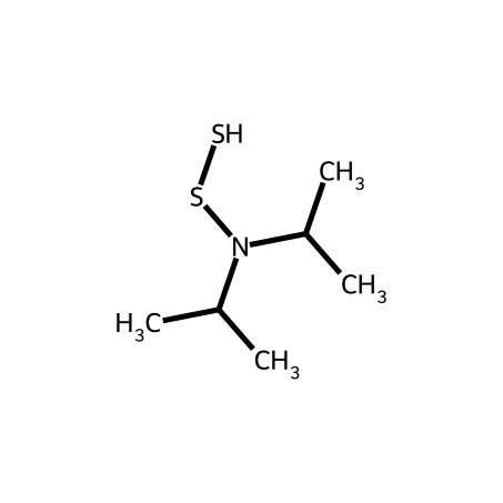 CC(C)N(SS)C(C)C